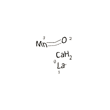 [CaH2].[La].[O]=[Mn]